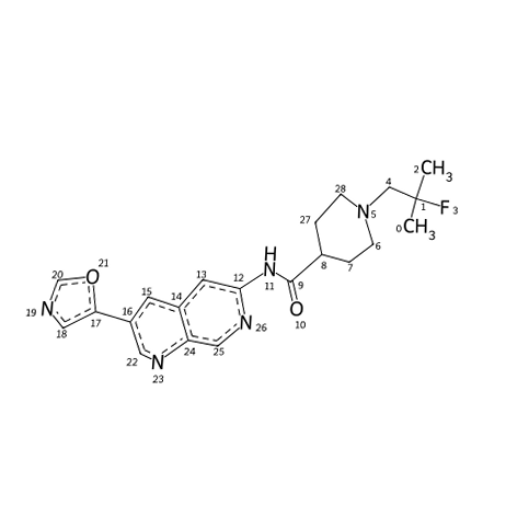 CC(C)(F)CN1CCC(C(=O)Nc2cc3cc(-c4cnco4)cnc3cn2)CC1